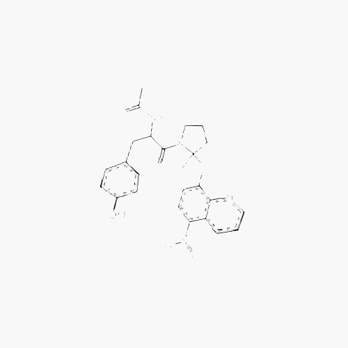 CC(=O)NC(Cc1ccc(O)cc1)C(=O)N1CCCC1(C)Oc1ccc([N+](=O)[O-])c2cccnc12